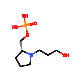 O=P(O)(O)OC[C@H]1CCCN1CCCO